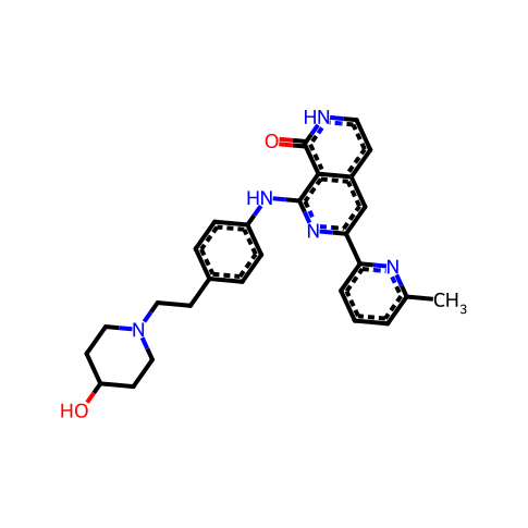 Cc1cccc(-c2cc3cc[nH]c(=O)c3c(Nc3ccc(CCN4CCC(O)CC4)cc3)n2)n1